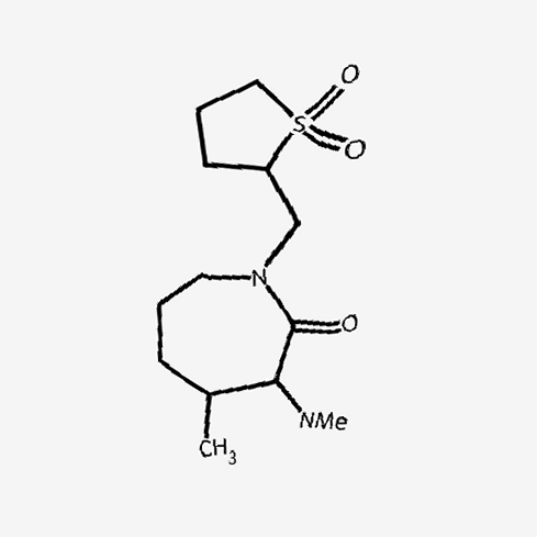 CNC1C(=O)N(CC2CCCS2(=O)=O)CCCC1C